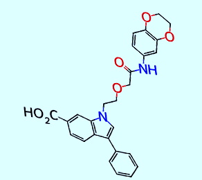 O=C(COCCn1cc(-c2ccccc2)c2ccc(C(=O)O)cc21)Nc1ccc2c(c1)OCCO2